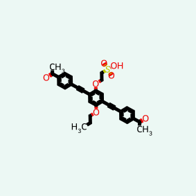 CCCOc1cc(C#Cc2ccc(C(C)=O)cc2)c(OCCS(=O)(=O)O)cc1C#Cc1ccc(C(C)=O)cc1